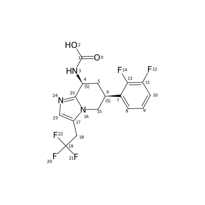 O=C(O)N[C@H]1C[C@@H](c2cccc(F)c2F)Cn2c(CC(F)(F)F)cnc21